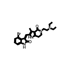 CCN(CC)CCN1CCc2[nH]c(/C=C3\C(=O)Nc4cccc(Br)c43)c(C)c2C1=O